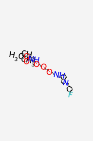 CC(C)(C)OC(=O)NCCOCCOCCOCCNCc1cccc2c1ccn2Cc1ccc(F)cc1